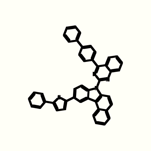 c1ccc(-c2ccc(-c3nc(-n4c5ccc(-c6ccc(-c7ccccc7)s6)cc5c5c6ccccc6ccc54)nc4ccccc34)cc2)cc1